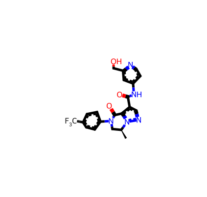 C[C@H]1CN(c2ccc(C(F)(F)F)cc2)C(=O)c2c(C(=O)Nc3ccnc(CO)c3)cnn21